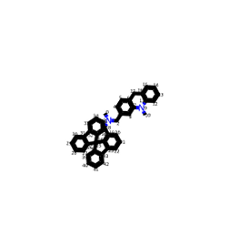 CN(Cc1ccc2c(c1)N(C)c1ccccc1C2)Cc1cccc2c1C1(c3ccccc3-c3ccccc31)c1ccccc1-2